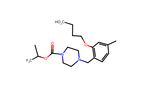 Cc1ccc(CN2CCN(C(=O)OC(C)C(F)(F)F)CC2)c(OCCCC(=O)O)c1